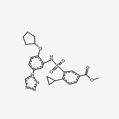 COC(=O)c1ccc(C2CC2)c(S(=O)(=O)Nc2cc(-n3cnnn3)ccc2OC2CCCC2)c1